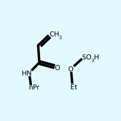 C=CC(=O)NCCC.CCOS(=O)(=O)O